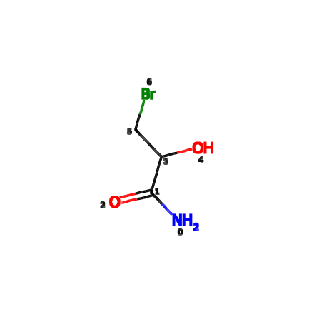 NC(=O)C(O)CBr